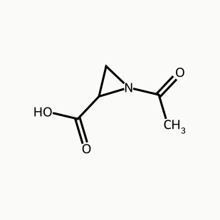 CC(=O)N1CC1C(=O)O